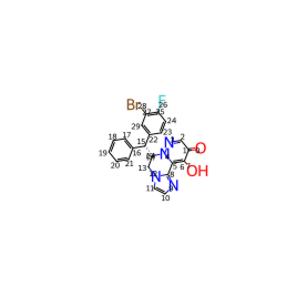 O=c1cnn2c(c1O)-c1nccn1C[C@@H]2C(c1ccccc1)c1ccc(F)c(Br)c1